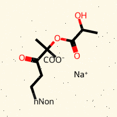 CCCCCCCCCCCC(=O)C(C)(OC(=O)C(C)O)C(=O)[O-].[Na+]